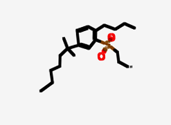 [CH2]CCS(=O)(=O)c1cc(C(C)(C)CCCCC)ccc1CCCC